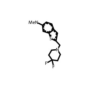 CNc1ccc2cc(CN3CCC(F)(F)CC3)sc2c1